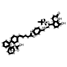 CC(C)(C)[Si](C)(C)O[C@H](CNCc1ccc2nc(CC/C=C/c3ccc(-c4ccccc4)c(N(C(=O)O)[C@H]4CN5CCC4CC5)c3)oc2c1)c1ccc(O)c2[nH]c(=O)ccc12